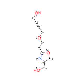 OCC#CCOCCC1=NC(CO)CO1